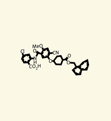 COc1cc(C#N)c(OC2CCC(C(=O)OCc3cccc4ccccc34)CC2)cc1C(=O)Nc1cc(Cl)ccc1C(=O)O